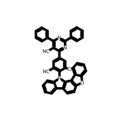 N#Cc1cc(-c2nc(-c3ccccc3)nc(-c3ccccc3)c2C#N)cc(C#N)c1-n1c2ccccc2c2ccc3oc4ccccc4c3c21